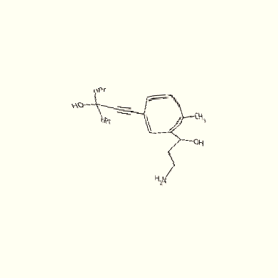 CCCC(O)(C#Cc1ccc(C)c(C(O)CCN)c1)CCC